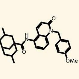 COc1ccc(Cn2c(=O)ccc3c(NC(=O)C45CC(C)CC(CC(C)C4)C5)cccc32)cc1